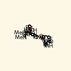 CNCC(=O)N[C@H](C(=O)N1Cc2ccc(NC(=O)CNC(=O)[C@]3(C)CN(C(=O)CN4C[C@@H](C)NC[C@@H]4CN4CCOC[C@H]4C)c4cc(Cc5ccc(F)cc5)ccc43)cc2[C@H]1C(=O)Nc1c(F)cccc1F)[C@@H](C)OC